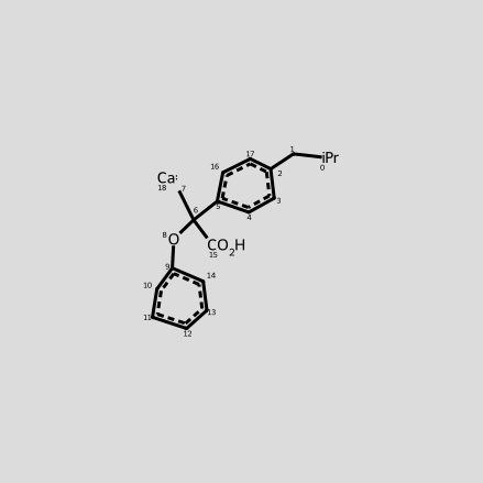 CC(C)Cc1ccc(C(C)(Oc2ccccc2)C(=O)O)cc1.[Ca]